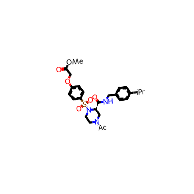 COC(=O)COc1ccc(S(=O)(=O)N2CCN(C(C)=O)C[C@@H]2C(=O)NCc2ccc(C(C)C)cc2)cc1